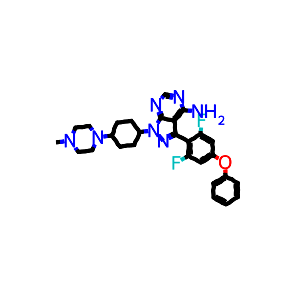 CN1CCN(C2CCC(n3nc(-c4c(F)cc(Oc5ccccc5)cc4F)c4c(N)ncnc43)CC2)CC1